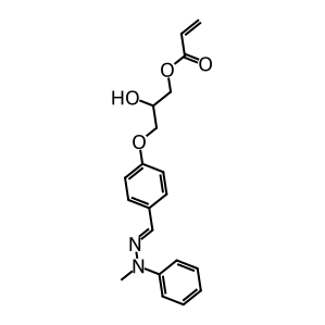 C=CC(=O)OCC(O)COc1ccc(C=NN(C)c2ccccc2)cc1